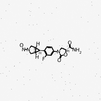 NC(=O)[C@H]1CN(c2ccc([C@H]3[C@@H]4CN(N=O)C[C@@H]43)c(F)c2)C(=O)O1